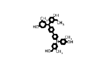 CCc1cc(C(C2=CC=C(O)CC(C)=C2)c2ccc(-c3ccc(N(c4ccc(O)c(C)c4)c4ccc(CO)c(C)c4)cc3)cc2)ccc1O